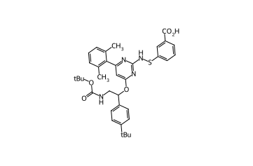 Cc1cccc(C)c1-c1cc(OC(CNC(=O)OC(C)(C)C)c2ccc(C(C)(C)C)cc2)nc(NSc2cccc(C(=O)O)c2)n1